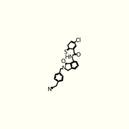 N#CCc1ccc(CN2Cc3cccc(NC(=O)C4=CC(Cl)=CCC4=S)c3C2=O)cc1